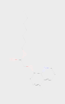 CCCCCCCOC(O)COc1ccc(Cl)c2cccnc12